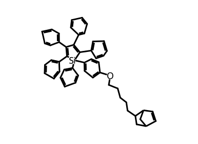 C1=CC2CC1CC2CCCCCOc1ccc([Si]2(c3ccccc3)C(c3ccccc3)=C(c3ccccc3)C(c3ccccc3)=C2c2ccccc2)cc1